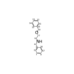 c1ccc(CNCCOCc2ccccc2)cc1